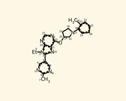 CCn1c(-c2cnc(C)nc2)nc2c(O[C@H]3CCN(c4ccccc4C)C3)ncnc21